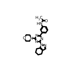 CC(=O)Nc1cccc(-c2nc(N3CCOCC3)nc(-n3ncc4c3CCCC4)n2)c1